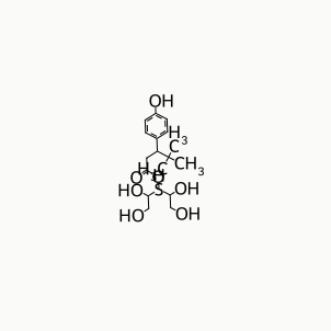 CC(C)(C)C(CC(=O)O[SH](C(O)CO)C(O)CO)c1ccc(O)cc1